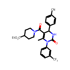 CCOC(=O)C1CCN(C(=O)C2=C(C)N(c3cccc(C(F)(F)F)c3)C(=O)NC2c2ccc(C#N)cc2)CC1